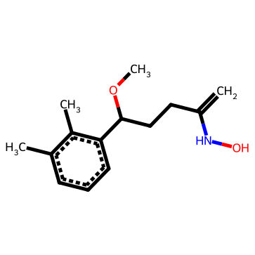 C=C(CCC(OC)c1cccc(C)c1C)NO